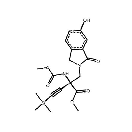 COC(=O)N[C@](C#C[Si](C)(C)C)(CN1Cc2ccc(O)cc2C1=O)C(=O)OC